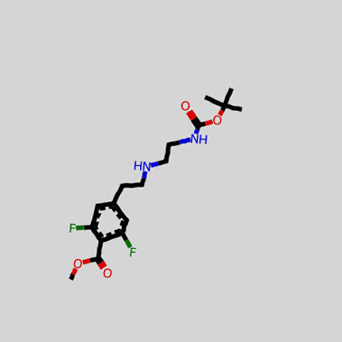 COC(=O)c1c(F)cc(CCNCCNC(=O)OC(C)(C)C)cc1F